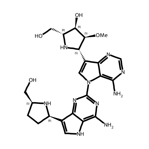 CO[C@@H]1[C@H](O)[C@@H](CO)N[C@H]1c1cn(-c2nc(N)c3[nH]cc([C@H]4CC[C@@H](CO)N4)c3n2)c2c(N)ncnc12